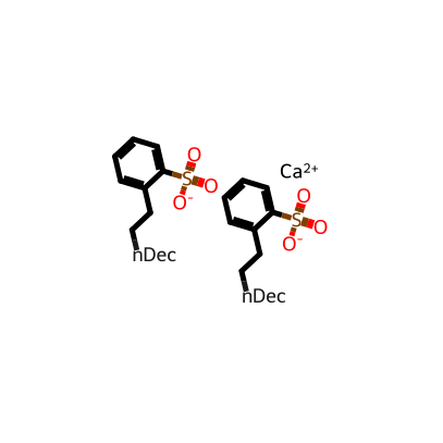 CCCCCCCCCCCCc1ccccc1S(=O)(=O)[O-].CCCCCCCCCCCCc1ccccc1S(=O)(=O)[O-].[Ca+2]